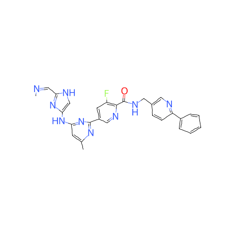 C/N=C\c1nc(Nc2cc(C)nc(-c3cnc(C(=O)NCc4ccc(-c5ccccc5)nc4)c(F)c3)n2)c[nH]1